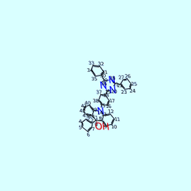 OC1(c2ccccc2)c2ccccc2N(c2ccc(-c3nc(-c4ccccc4)nc(-c4ccccc4)n3)cc2)c2ccccc21